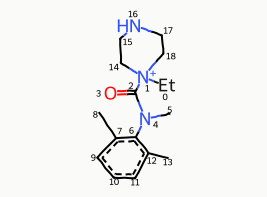 CC[N+]1(C(=O)N(C)c2c(C)cccc2C)CCNCC1